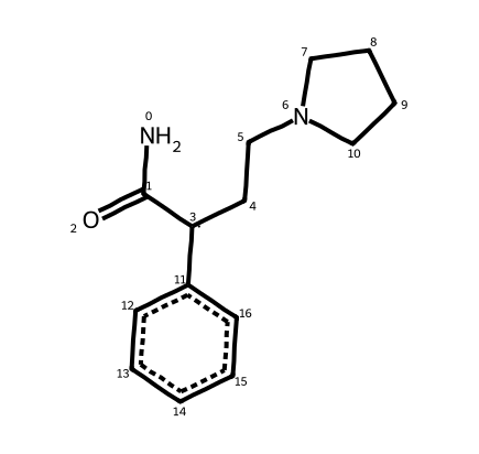 NC(=O)[C](CCN1CCCC1)c1ccccc1